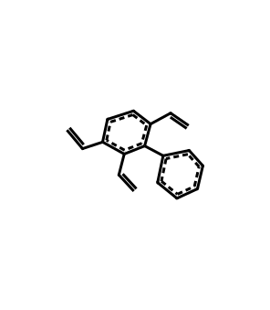 C=Cc1ccc(C=C)c(-c2ccccc2)c1C=C